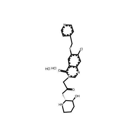 Cl.Cl.O=C(C[C@H]1NCCC[C@@H]1O)Cn1cnc2cc(Cl)c(SCc3ccncc3)cc2c1=O